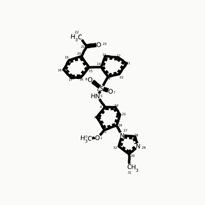 COc1cc(NS(=O)(=O)c2ccccc2-c2ccccc2C(C)=O)ccc1-n1cnc(C)c1